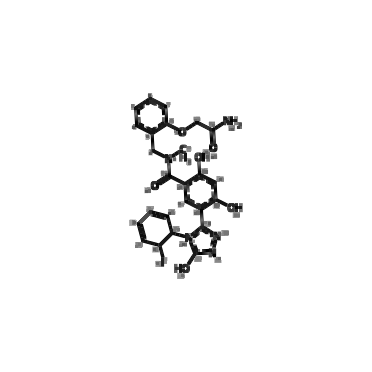 CN(Cc1ccccc1OCC(N)=O)C(=O)c1cc(-c2nnc(O)n2C2C=CC=CC2F)c(O)cc1O